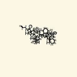 C=CCNC(=O)C(=O)C(CCCC)NC(=O)[C@@H]1[C@@H]2[C@H](CN1C(=O)[C@@H](NC(=O)NC1(CN(C)S(C)(=O)=O)CCCCC1)C1CCCCC1)C2(C)C